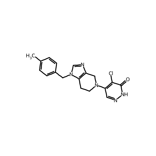 Cc1ccc(Cn2cnc3c2CCN(c2cn[nH]c(=O)c2Cl)C3)cc1